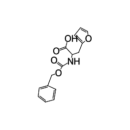 O=C(NC(Cc1ccco1)C(=O)O)OCc1ccccc1